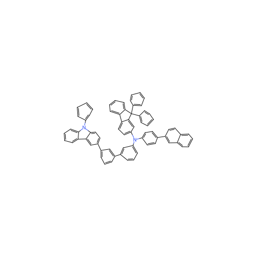 c1ccc(-n2c3ccccc3c3cc(-c4cccc(-c5cccc(N(c6ccc(-c7ccc8ccccc8c7)cc6)c6ccc7c(c6)C(c6ccccc6)(c6ccccc6)c6ccccc6-7)c5)c4)ccc32)cc1